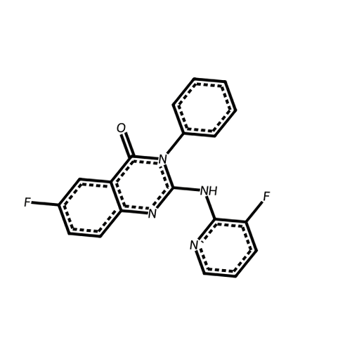 O=c1c2cc(F)ccc2nc(Nc2ncccc2F)n1-c1ccccc1